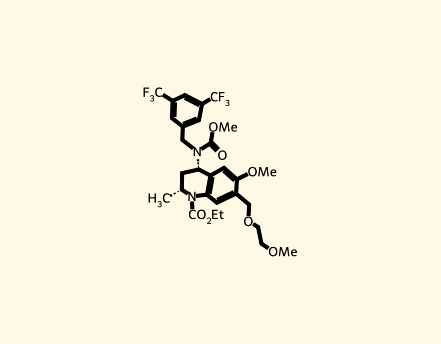 CCOC(=O)N1c2cc(COCCOC)c(OC)cc2[C@@H](N(Cc2cc(C(F)(F)F)cc(C(F)(F)F)c2)C(=O)OC)C[C@H]1C